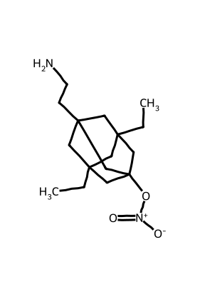 CCC12CC3(CC)CC(CCN)(C1)CC(O[N+](=O)[O-])(C2)C3